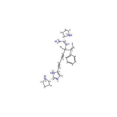 C/C=C(/c1ccccc1)C(C)(C#CC#Cc1cnc([C@@H]2CCCN2)[nH]1)/N=C(\N)[C@@H]1CCCN1